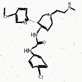 CNCCN1CC[C@@H](NC(=O)Nc2ccc(Cl)cc2)[C@H](c2ccc(OC)cn2)C1